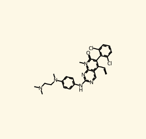 C=Cc1c(-c2c(Cl)cccc2Cl)c(=O)n(C)c2nc(Nc3ccc(N(C)CCN(C)C)cc3)ncc12